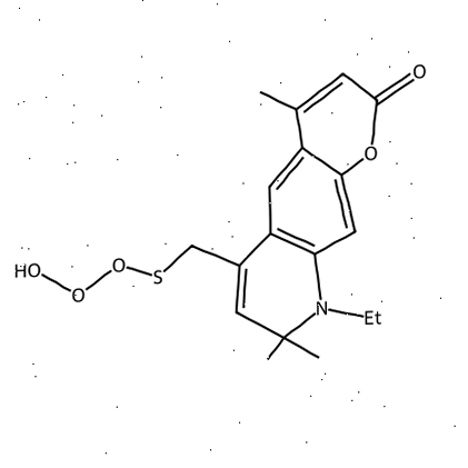 CCN1c2cc3oc(=O)cc(C)c3cc2C(CSOOO)=CC1(C)C